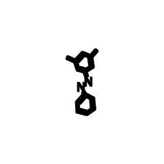 Cc1cc(C)cc(N=Nc2ccccc2)c1